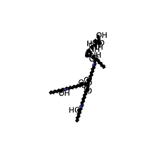 CCCCCCC(O)C/C=C/CCCCCCCC(=O)OCC(COC(=O)CCCCCCC/C=C/CC(O)CCCCCC)OC(=O)CCCCCCC/C=C/CC(CCCCCC)OC(=O)NC1CC(C)(C)CC(C)(CNC(=O)Nc2nc(=O)c(CCO)c(C)[nH]2)C1